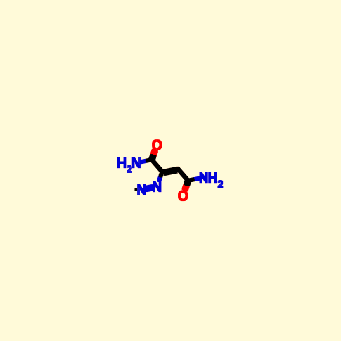 [N]=NC(=CC(N)=O)C(N)=O